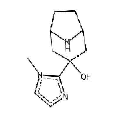 Cn1ccnc1C1(O)CC2CCC(C1)N2